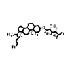 CCC(I)[C@@H](F)C(O)[C@@H](O)[C@H](O)O[C@H]1CC[C@@]2(C)C(CCC3C2CC[C@@]2(C)C3CC[C@@H]2C(C)CCCC(C)C)C1